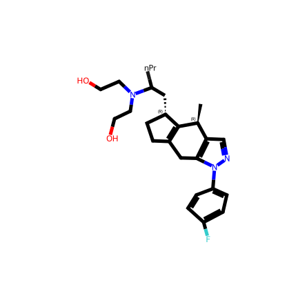 CCCC(C[C@H]1CCC2=C1[C@@H](C)c1cnn(-c3ccc(F)cc3)c1C2)N(CCO)CCO